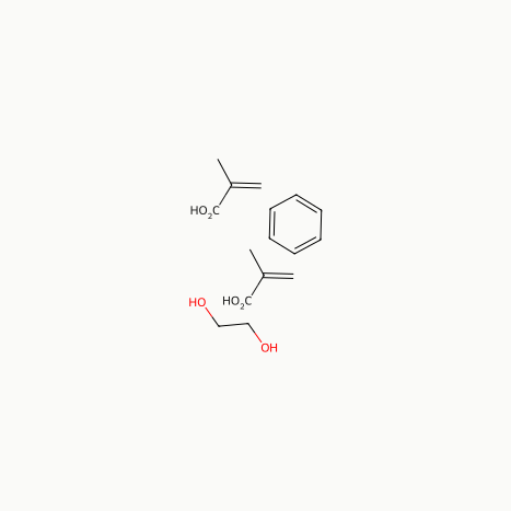 C=C(C)C(=O)O.C=C(C)C(=O)O.OCCO.c1ccccc1